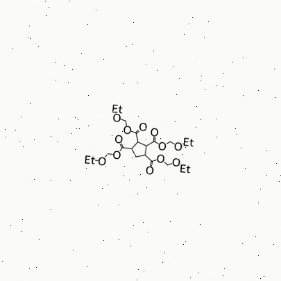 CCOCOC(=O)C1CC(C(=O)OCOCC)C(C(=O)OCOCC)C1C(=O)OCOCC